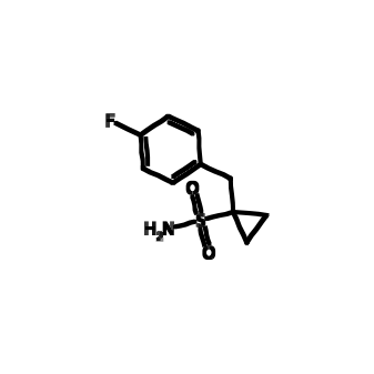 NS(=O)(=O)C1(Cc2ccc(F)cc2)CC1